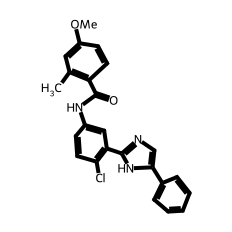 COc1ccc(C(=O)Nc2ccc(Cl)c(-c3ncc(-c4ccccc4)[nH]3)c2)c(C)c1